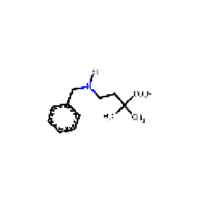 CCN(CCC(C)(C)C(=O)O)Cc1ccccc1